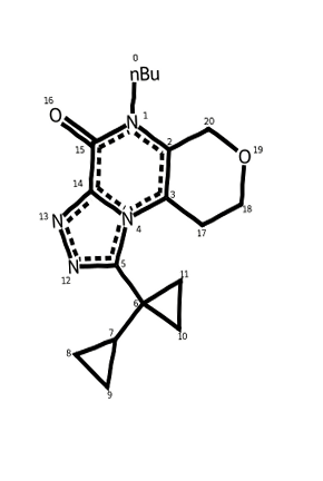 CCCCn1c2c(n3c(C4(C5CC5)CC4)nnc3c1=O)CCOC2